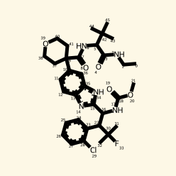 CCNC(=O)C(NC(=O)C1(c2ccc3nc(C(NC(=O)OC)C(c4ccccc4Cl)C(C)(C)F)[nH]c3c2)CCOCC1)C(C)(C)C